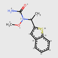 CON(C(N)=O)C(C)c1cc2ccccc2s1